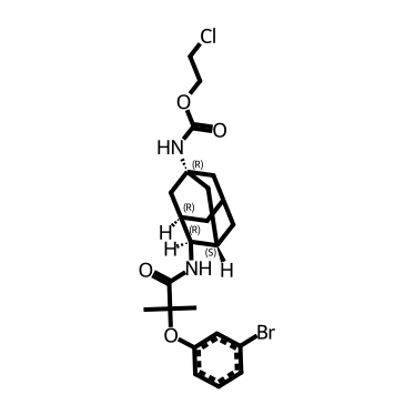 CC(C)(Oc1cccc(Br)c1)C(=O)N[C@H]1[C@@H]2CC3C[C@H]1C[C@](NC(=O)OCCCl)(C3)C2